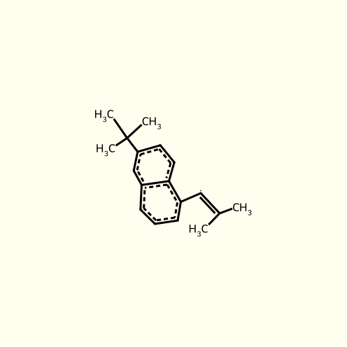 CC(C)=[C]c1cccc2cc(C(C)(C)C)ccc12